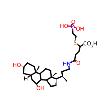 C[C@H](CCNC(=O)CCC(SCCP(=O)(O)O)C(=O)O)[C@H]1CCC2C3C(CC[C@@]21C)[C@@]1(C)CC[C@@H](O)C[C@H]1C[C@@H]3O